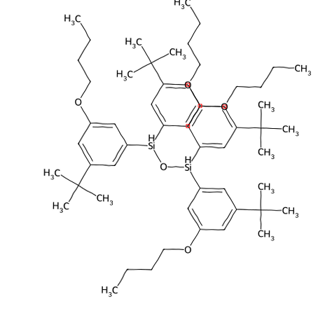 CCCCOc1cc([SiH](O[SiH](c2cc(OCCCC)cc(C(C)(C)C)c2)c2cc(OCCCC)cc(C(C)(C)C)c2)c2cc(OCCCC)cc(C(C)(C)C)c2)cc(C(C)(C)C)c1